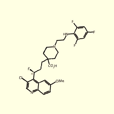 COc1ccc2ncc(Cl)c([C@@H](F)CCC3(C(=O)O)CCN(CCNc4c(F)cc(F)cc4F)CC3)c2c1